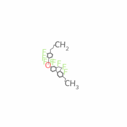 C=CCCc1ccc(C(F)(F)Oc2ccc3c(c2F)C(F)C(F)c2c-3ccc(CCC)c2F)c(F)c1F